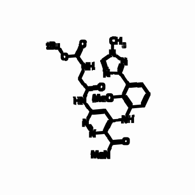 CNC(=O)c1nnc(NC(=O)CNC(=O)OC(C)(C)C)cc1Nc1cccc(-c2ncn(C)n2)c1OC